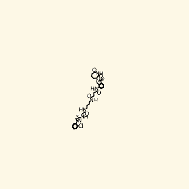 O=C(CCC(=O)Nc1cccc2c1CN([C@H]1CCCC(=O)NC1=O)C2=O)NCCCCNC(=O)CNc1nc(-c2ccccc2Cl)cs1